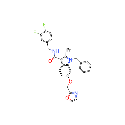 CC(C)c1c(C(=O)NCc2ccc(F)c(F)c2)c2ccc(OCc3ncco3)cc2n1Cc1ccccc1